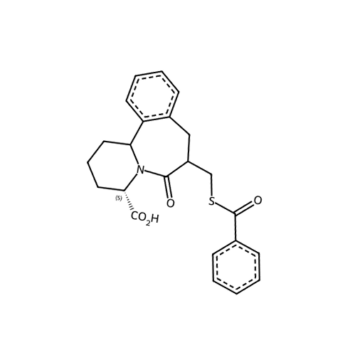 O=C(SCC1Cc2ccccc2C2CCC[C@@H](C(=O)O)N2C1=O)c1ccccc1